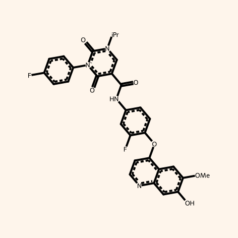 COc1cc2c(Oc3ccc(NC(=O)c4cn(C(C)C)c(=O)n(-c5ccc(F)cc5)c4=O)cc3F)ccnc2cc1O